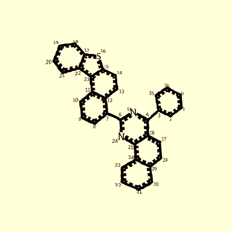 c1ccc(-c2nc(-c3cccc4c3ccc3sc5ccccc5c34)nc3c2ccc2ccccc23)cc1